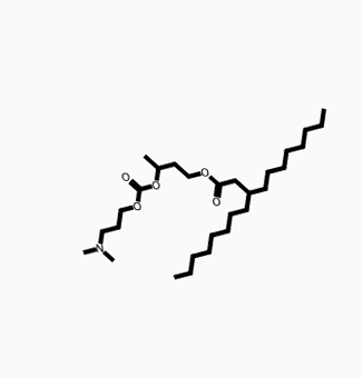 CCCCCCCCC(CCCCCCCC)CC(=O)OCCC(C)OC(=O)OCCCN(C)C